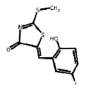 CSC1=NC(=O)C(=Cc2cc(F)ccc2O)S1